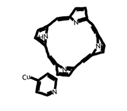 C1=Cc2cc3ccc(cc4nc(cc5ccc(cc1n2)[nH]5)C=C4)[nH]3.[Cu][c]1ccncc1